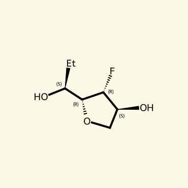 CC[C@H](O)[C@H]1OC[C@H](O)[C@H]1F